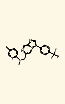 Cc1ccc(N(C)Cc2cn3c(-c4ccc(C(F)(F)F)cc4)cnc3cn2)nc1